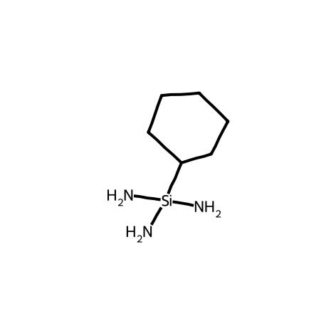 N[Si](N)(N)C1CCCCC1